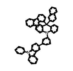 c1ccc(-n2c3ccccc3c3cc(-c4cccc(N5c6ccccc6C(c6ccc7ccccc7c6)(c6cccc7c6sc6ccccc67)c6ccccc65)c4)ccc32)cc1